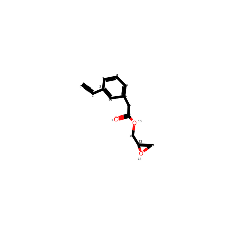 C=Cc1cccc(CC(=O)OCC2CO2)c1